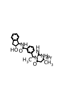 CC(C)[C@]1(C)CC(=O)N([C@H](C)c2cccc(C(=O)NC3c4ccccc4C[C@H]3O)c2)C(=N)N1